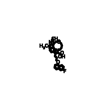 CCc1nn(C)c2c1-c1c(F)ccc3c(CCCOc4cccc5cc(F)ccc45)c(C(=O)O)n(c13)CCCCOC2